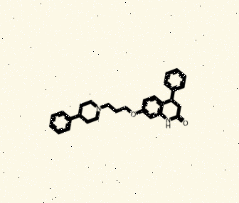 O=C1CC(c2ccccc2)c2ccc(OCCCN3CCC(c4ccccc4)CC3)cc2N1